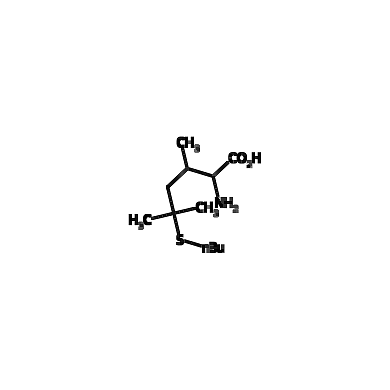 CCCCSC(C)(C)CC(C)C(N)C(=O)O